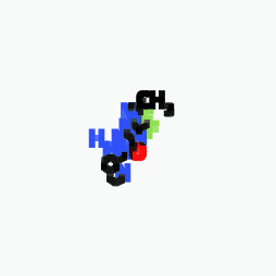 Cc1cnn(-c2nc(N)c(C(=O)NCc3cccc4cccnc34)nc2C(F)F)c1